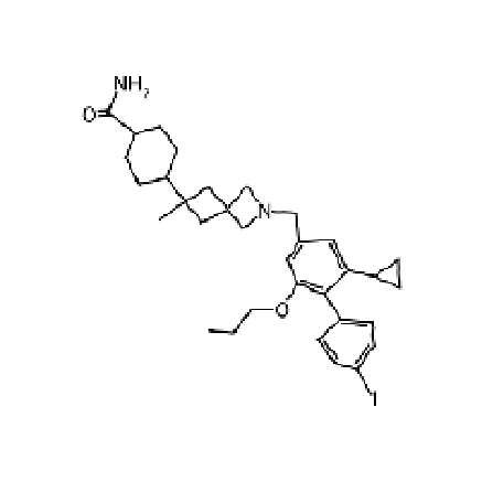 CCCOc1cc(CN2CC3(C2)CC(C)(C2CCC(C(N)=O)CC2)C3)cc(C2CC2)c1-c1ccc(I)cc1